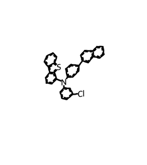 Clc1cccc(N(c2ccc(-c3ccc4ccccc4c3)cc2)c2cccc3c2sc2ccccc23)c1